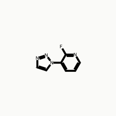 Fc1ncccc1-n1c[c]nn1